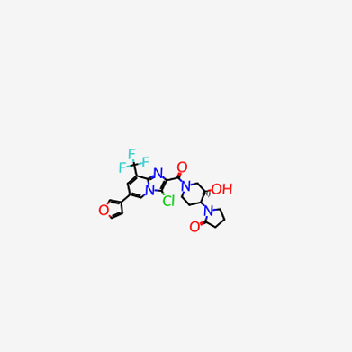 O=C(c1nc2c(C(F)(F)F)cc(-c3ccoc3)cn2c1Cl)N1CCC(N2CCCC2=O)[C@H](O)C1